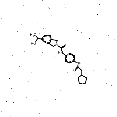 CC(O)c1ccc2c(c1)CN(C(=O)Nc1ccc(NC(=O)CC3CCCC3)cc1)C2